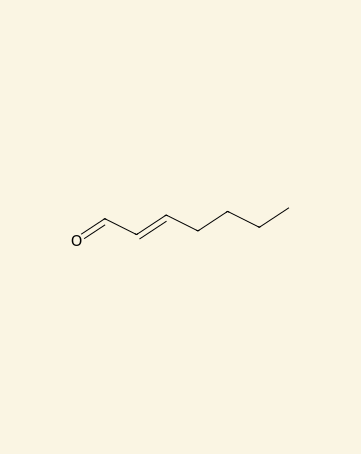 CCCCC=CC=O